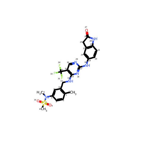 Cc1ccc(N(C)S(C)(=O)=O)cc1CNc1nc(Nc2ccc3c(c2)CC(=O)N3)ncc1C(F)(F)F